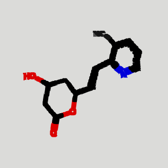 N#Cc1cccnc1C=CC1CC(O)CC(=O)O1